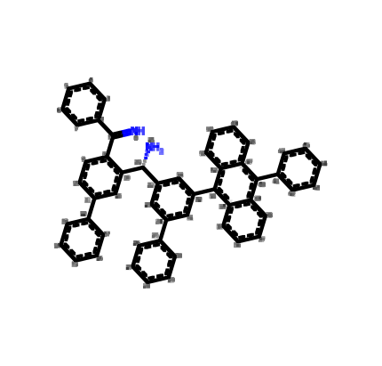 N=C(c1ccccc1)c1ccc(-c2ccccc2)cc1[C@H](N)c1cc(-c2ccccc2)cc(-c2c3ccccc3c(-c3ccccc3)c3ccccc23)c1